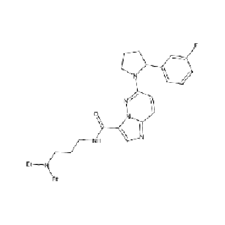 CCN(CC)CCCNC(=O)c1cnc2ccc(N3CCCC3c3cccc(F)c3)nn12